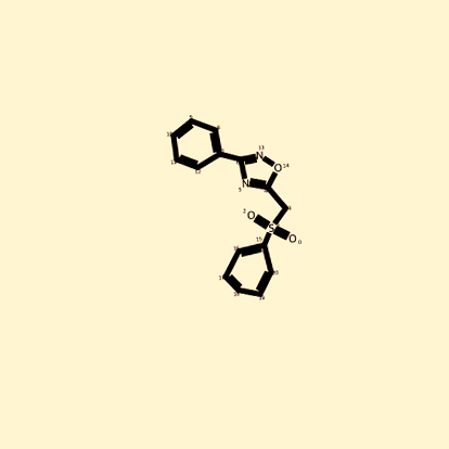 O=S(=O)(Cc1nc(-c2ccccc2)no1)c1ccccc1